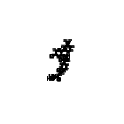 O=C(NO)c1cc2ccc(S(=O)(=O)Nc3cc(Cl)cnc3N3CCCC4(CC4)C3)cc2o1